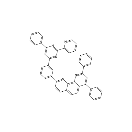 c1ccc(-c2cc(-c3cccc(-c4ccc5ccc6c(-c7ccccc7)cc(-c7ccccc7)nc6c5n4)c3)nc(-c3ccccn3)n2)cc1